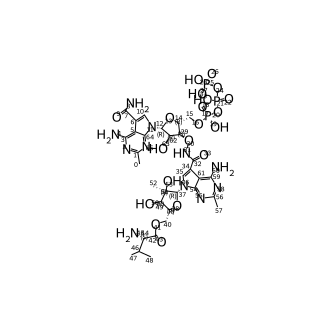 Cc1nc(N)c2c(C(N)=O)cn([C@@H]3O[C@H](COP(=O)(O)OP(=O)(O)OP(=O)(O)O)[C@@H](ONC(=O)c4cn([C@@H]5O[C@H](COC(=O)[C@@H](N)C(C)C)[C@@H](O)[C@@]5(C)O)c5nc(C)nc(N)c45)[C@H]3O)c2n1